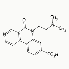 CN(C)CCn1c(=O)c2cnccc2c2ccc(C(=O)O)cc21